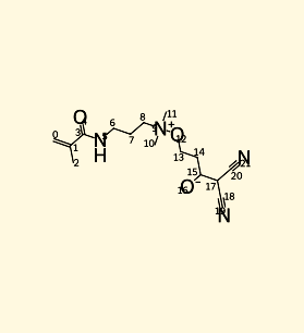 C=C(C)C(=O)NCCC[N+](C)(C)OCCC([O-])C(C#N)C#N